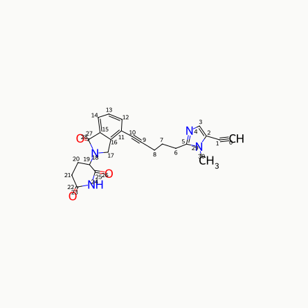 C#Cc1cnc(CCCC#Cc2cccc3c2CN(C2CCC(=O)NC2=O)C3=O)n1C